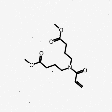 C=CC(=O)N(CCCC(=O)OC)CCCC(=O)OC